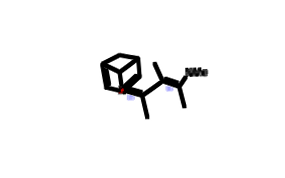 CN/C(C)=C(C)/C(C)=N\C1C2=CC=CC1C2